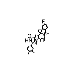 Cc1ccc(-c2nn3c(Cl)c(C(=O)N[C@H](C)c4ccc(F)cc4)cc3c(=O)[nH]2)cc1C